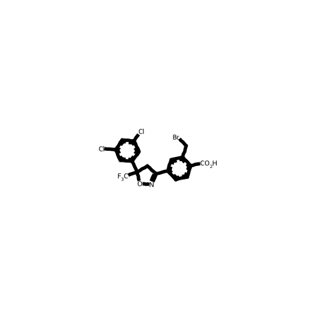 O=C(O)c1ccc(C2=NOC(c3cc(Cl)cc(Cl)c3)(C(F)(F)F)C2)cc1CBr